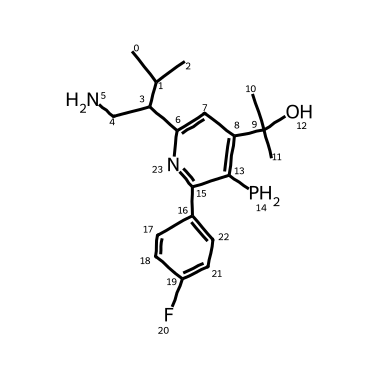 CC(C)C(CN)c1cc(C(C)(C)O)c(P)c(-c2ccc(F)cc2)n1